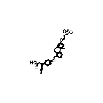 CC#CC(CC(=O)O)c1ccc(OCc2cccc3c2CCc2cc(OCCCS(C)(=O)=O)cc(C)c2-3)cc1